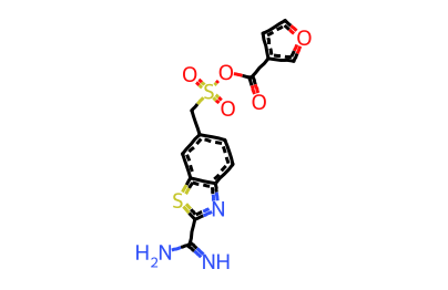 N=C(N)c1nc2ccc(CS(=O)(=O)OC(=O)c3ccoc3)cc2s1